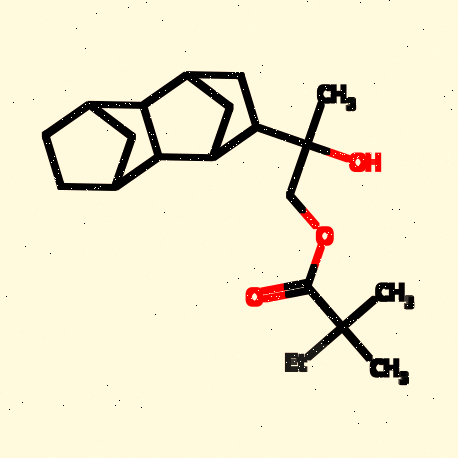 CCC(C)(C)C(=O)OCC(C)(O)C1CC2CC1C1C3CCC(C3)C21